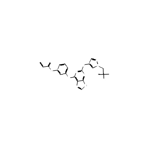 C=CC(=O)Nc1cccc(Oc2nc(Nc3cnn(CC(C)(C)O)c3)nc3[nH]cnc23)c1